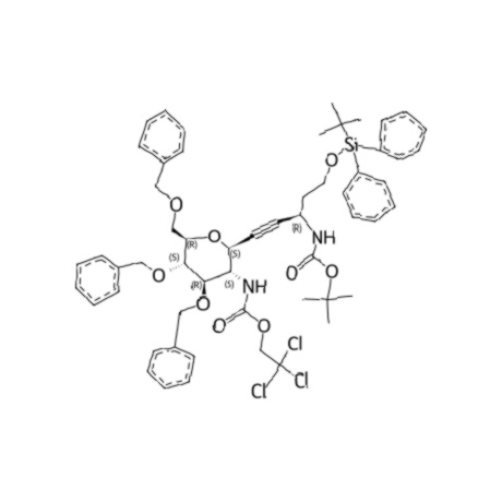 CC(C)(C)OC(=O)N[C@@H](C#C[C@@H]1O[C@H](COCc2ccccc2)[C@@H](OCc2ccccc2)[C@H](OCc2ccccc2)[C@H]1NC(=O)OCC(Cl)(Cl)Cl)CCO[Si](c1ccccc1)(c1ccccc1)C(C)(C)C